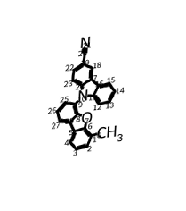 Cc1cccc2c1oc1c(-n3c4ccccc4c4cc(C#N)ccc43)cccc12